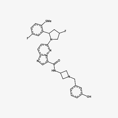 CSc1ccc(F)cc1C1CC(F)CN1c1ccc2ncc(C(=O)NC3CN(Cc4cccc(O)c4)C3)n2n1